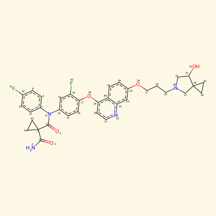 NC(=O)C1(C(=O)N(c2ccc(F)cc2)c2ccc(Oc3ccnc4cc(OCCCN5CC(O)C6(CC6)C5)ccc34)c(F)c2)CC1